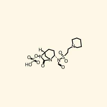 O=CN([C@H]1CC[C@@H]2CN1C(=O)N2OS(=O)(=O)O)S(=O)(=O)CCN1CCCCC1